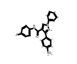 O=C(Nc1ccc(F)cc1)c1cn(-c2ccccc2)nc1-c1ccc([N+](=O)[O-])cc1